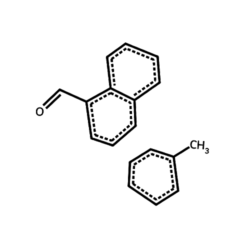 Cc1ccccc1.O=Cc1cccc2ccccc12